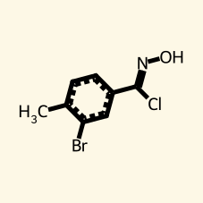 Cc1ccc(/C(Cl)=N/O)cc1Br